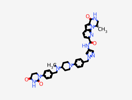 C[C@@H]1CNC(=O)c2cc3ccc(C(=O)Nc4cnn(Cc5ccc(N6CCC(N(C)Cc7ccc(N8CCC(=O)NC8=O)cc7)CC6)cc5)c4)nc3n21